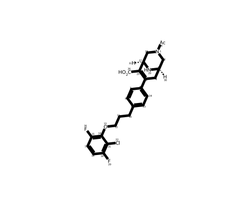 CC(=O)N1C[C@H]2CC(c3ccc(CCCOc4c(F)ccc(F)c4Cl)cc3)=C(C(=O)O)[C@@H](C1)N2